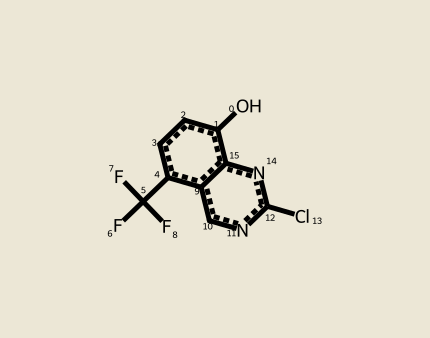 Oc1ccc(C(F)(F)F)c2cnc(Cl)nc12